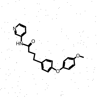 COc1ccc(Oc2ccc(CCCC(=O)Nc3cccnc3)cc2)cc1